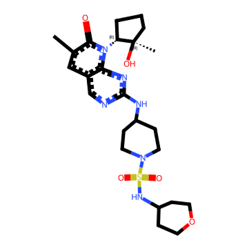 Cc1cc2cnc(NC3CCN(S(=O)(=O)NC4CCOCC4)CC3)nc2n([C@@H]2CCC[C@@]2(C)O)c1=O